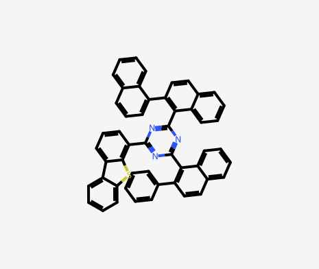 c1ccc(-c2ccc3ccccc3c2-c2nc(-c3c(-c4cccc5ccccc45)ccc4ccccc34)nc(-c3cccc4c3sc3ccccc34)n2)cc1